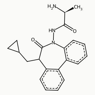 C[C@H](N)C(=O)NN1C(=O)C(CC2CC2)c2ccccc2-c2ccccc21